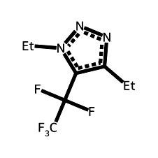 CCc1nnn(CC)c1C(F)(F)C(F)(F)F